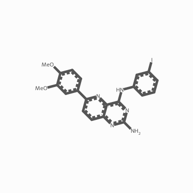 COc1ccc(-c2ccc3nc(N)nc(Nc4cccc(I)c4)c3n2)cc1OC